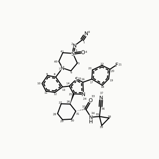 N#CN=S1(=O)CCN(c2ccccc2-c2sc(-c3ccc(F)cc3)nc2[C@@H]2CCCC[C@H]2C(=O)NC2(C#N)CC2)CC1